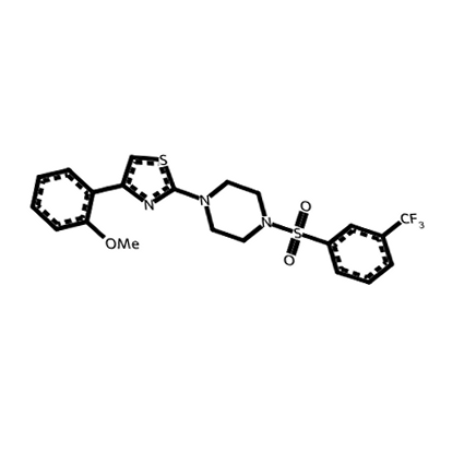 COc1ccccc1-c1csc(N2CCN(S(=O)(=O)c3cccc(C(F)(F)F)c3)CC2)n1